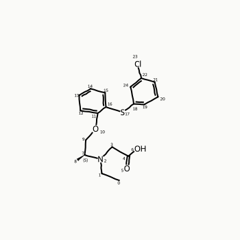 CCN(CC(=O)O)[C@@H](C)COc1ccccc1Sc1cccc(Cl)c1